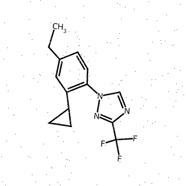 CCc1ccc(-n2cnc(C(F)(F)F)n2)c(C2CC2)c1